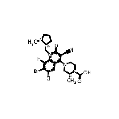 C[C@@H]1CN(c2c(C#N)c(=O)n(C[C@@H]3CCCN3C)c3c(F)c(Br)c(Cl)cc23)CCN1C(=O)O